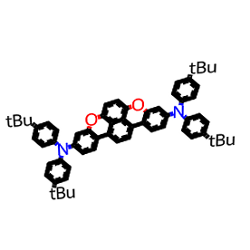 CC(C)(C)c1ccc(N(c2ccc(C(C)(C)C)cc2)c2ccc3c(c2)Oc2ccc4c5c(ccc-3c25)-c2ccc(N(c3ccc(C(C)(C)C)cc3)c3ccc(C(C)(C)C)cc3)cc2O4)cc1